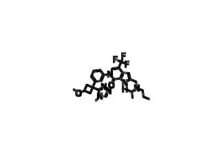 CCCN(Cc1cc2c(C(F)(F)F)cn(-c3cccc(C4(c5nncn5C)CC(OC)C4)c3)c(=O)c2[nH]1)C(C)C